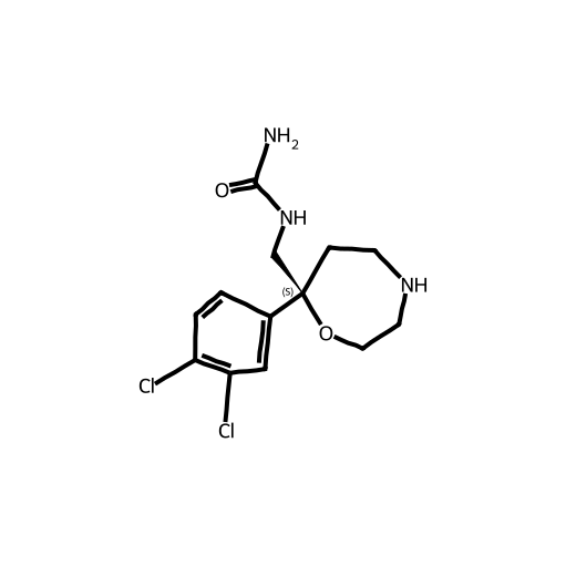 NC(=O)NC[C@@]1(c2ccc(Cl)c(Cl)c2)CCNCCO1